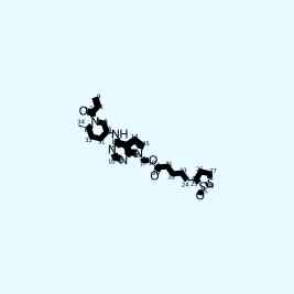 C=CC(=O)N1C[C@H](Nc2ncnc3c2ccn3COC(=O)CCCC[C@@H]2CCS[S+]2[O-])CC[C@@H]1C